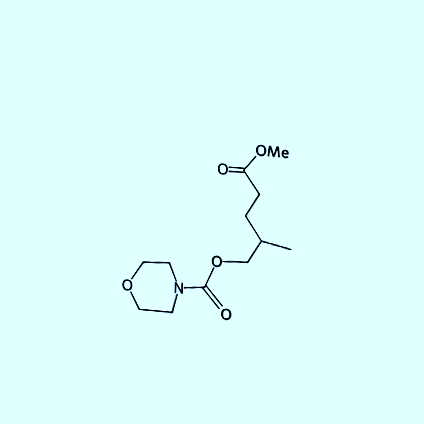 COC(=O)CCC(C)COC(=O)N1CCOCC1